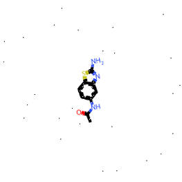 CC(=O)Nc1ccc2sc(N)nc2c1